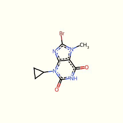 Cn1c(Br)nc2c1c(=O)[nH]c(=O)n2C1CC1